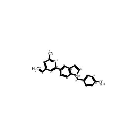 C=Cc1cc(C#N)nc(-c2ccc3c(ccn3Cc3ccc(C(F)(F)F)cc3)c2)c1